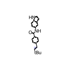 CC(C)(C)/C=C/c1ccc(C(=O)Nc2ccc3[nH]ccc3c2)cc1